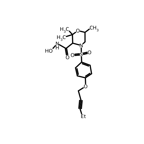 CCC#CCOc1ccc(S(=O)(=O)N2CC(C)OC(C)(C)C2C(=O)NO)cc1